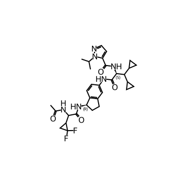 CC(=O)NC(C(=O)N[C@@H]1CCc2cc(NC(=O)[C@@H](NC(=O)c3ccnn3C(C)C)C(C3CC3)C3CC3)ccc21)C1CC1(F)F